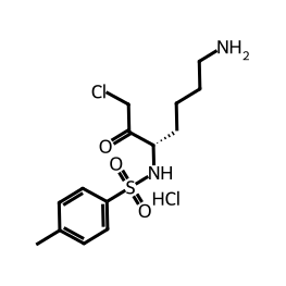 Cc1ccc(S(=O)(=O)N[C@@H](CCCCN)C(=O)CCl)cc1.Cl